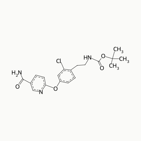 CC(C)(C)OC(=O)NCCc1ccc(Oc2ccc(C(N)=O)cn2)cc1Cl